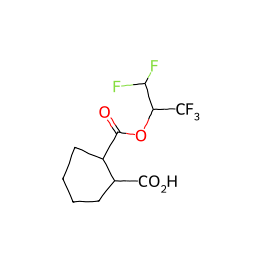 O=C(O)C1CCCCC1C(=O)OC(C(F)F)C(F)(F)F